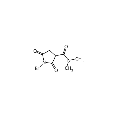 CN(C)C(=O)C1CC(=O)N(Br)C1=O